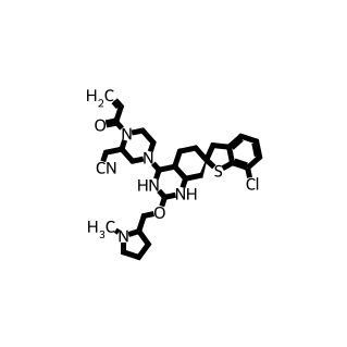 C=CC(=O)N1CCN(C2NC(OCC3CCCN3C)NC3C[C@@]4(CCC32)Cc2cccc(Cl)c2S4)CC1CC#N